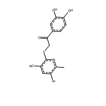 CC(=O)c1cc(C#N)c(SCC(=O)c2ccc(O)c(O)c2)nc1C